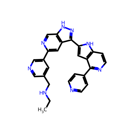 CCNCc1cncc(-c2cc3c(-c4cc5c(-c6ccncc6)nccc5[nH]4)n[nH]c3cn2)c1